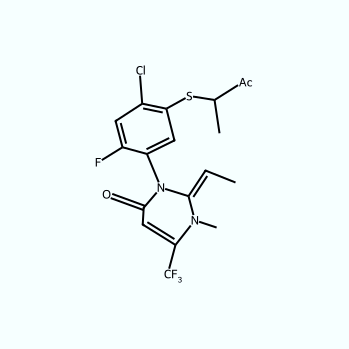 C/C=C1\N(C)C(C(F)(F)F)=CC(=O)N1c1cc(SC(C)C(C)=O)c(Cl)cc1F